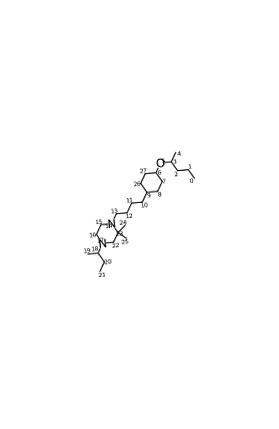 CCCC(C)OC1CCC(CCCCN2CCN(C(C)CC)CC2(C)C)CC1